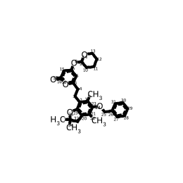 Cc1c(CCc2cc(OC3CCCCO3)cc(=O)o2)c2c(c(C)c1OCc1ccccc1)CC(C)(C)O2